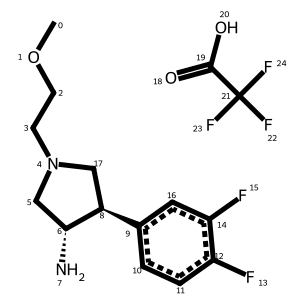 COCCN1C[C@@H](N)[C@H](c2ccc(F)c(F)c2)C1.O=C(O)C(F)(F)F